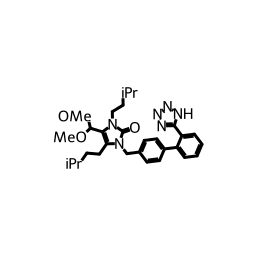 COC(OC)c1c(CCC(C)C)n(Cc2ccc(-c3ccccc3-c3nnn[nH]3)cc2)c(=O)n1CCC(C)C